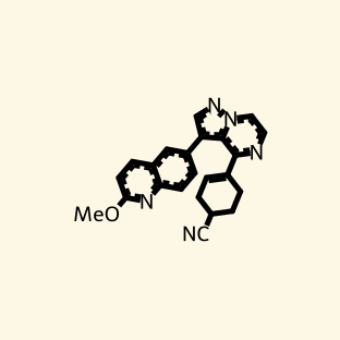 COc1ccc2cc(-c3cnn4ccnc(C5=CCC(C#N)CC5)c34)ccc2n1